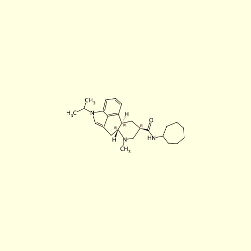 CC(C)n1cc2c3c(cccc31)[C@H]1C[C@@H](C(=O)NC3CCCCCC3)CN(C)[C@@H]1C2